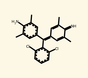 CC1=CC(=C(c2cc(C)c(N)c(C)c2)c2c(Cl)cccc2Cl)C=C(C)C1=N